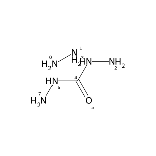 NN.NNC(=O)NN